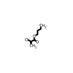 [CH2]CCCOC(=O)C(=C)Cl